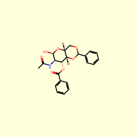 CC(=O)N[C@@H]1[C@@H](OC(=O)c2ccccc2)[C@H]2OC(c3ccccc3)OC[C@H]2O[C@@H]1O